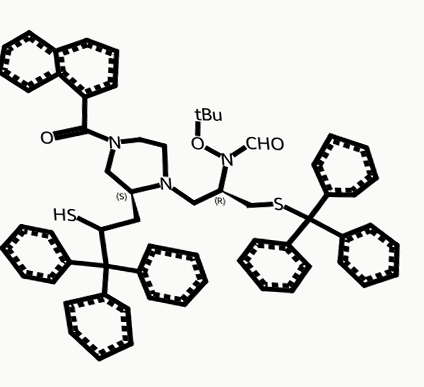 CC(C)(C)ON(C=O)[C@@H](CSC(c1ccccc1)(c1ccccc1)c1ccccc1)CN1CCN(C(=O)c2cccc3ccccc23)C[C@@H]1CC(S)C(c1ccccc1)(c1ccccc1)c1ccccc1